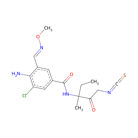 CCC(C)(NC(=O)c1cc(Cl)c(N)c(C=NOC)c1)C(=O)CN=C=S